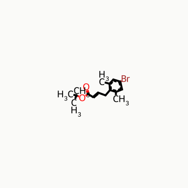 Cc1cc(Br)cc(C)c1CC=CC(=O)OC(C)(C)C